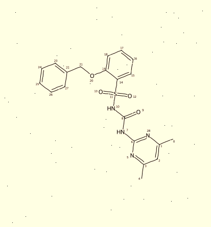 Cc1cc(C)nc(NC(=O)NS(=O)(=O)c2ccccc2OCc2ccccc2)n1